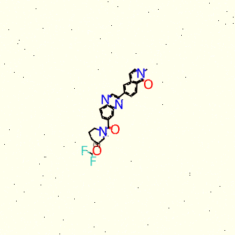 Cn1ccc2cc(-c3cnc4ccc(C(=O)N5CCC[C@H](OC(F)F)C5)cc4n3)ccc2c1=O